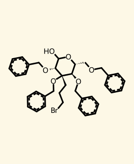 OC1O[C@H](COCc2ccccc2)[C@@H](OCc2ccccc2)[C@](CCCBr)(OCc2ccccc2)[C@@H]1OCc1ccccc1